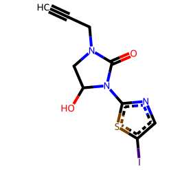 C#CCN1CC(O)N(c2ncc(I)s2)C1=O